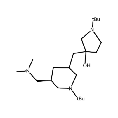 CN(C)C[C@H]1CC(CC2(O)CCN(C(C)(C)C)C2)CN(C(C)(C)C)C1